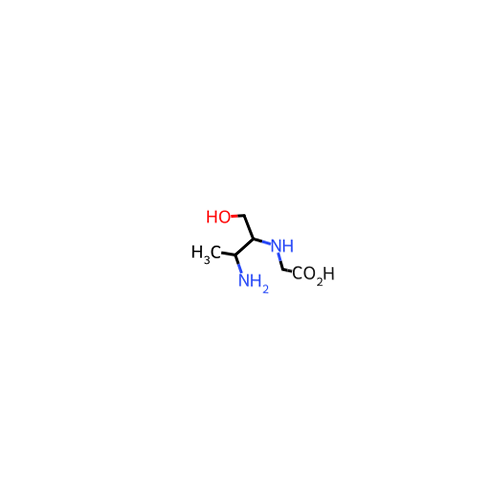 CC(N)C(CO)NCC(=O)O